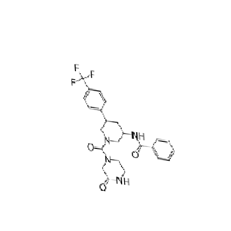 O=C1CN(C(=O)N2CC(NC(=O)c3ccccc3)CC(c3ccc(C(F)(F)F)cc3)C2)CCN1